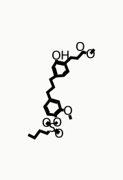 CCCCS(=O)(=O)Oc1ccc(CCCc2ccc(CCC(=O)OC)c(O)c2)cc1OC